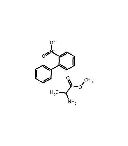 COC(=O)C(C)N.O=[N+]([O-])c1ccccc1-c1ccccc1